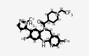 Cn1nccc1-c1cc2c(cc1F)Nc1ncc(F)cc1CN2C(=O)C1CCN(CC(F)(F)F)CC1